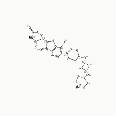 O=C1CCC(N2Cc3c(ccc(N4CCC(O[C@H]5C[C@H](OC6CCNCC6)C5)CC4)c3F)C2=O)C(=O)N1